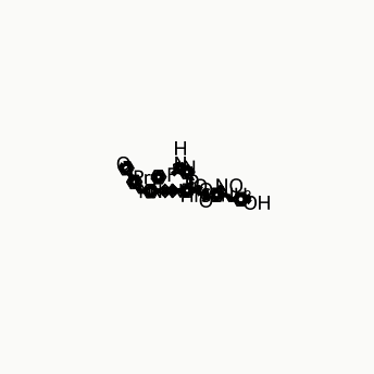 CC(C)c1ccccc1[C@@H]1CN(Cc2ccc(C3CCOCC3)cc2)CCN1C1CC2(C1)CN(c1ccc(C(=O)NS(=O)(=O)c3ccc(NCC4CCC(C)(O)CC4)c([N+](=O)[O-])c3)c(Oc3cnc4[nH]cc(F)c4c3)c1)C2